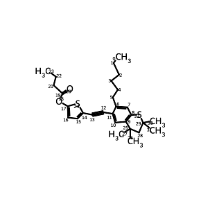 CCCCCCc1cc2c(cc1C#Cc1ccc(OC(=O)CCC)s1)C(C)(C)CC(C)(C)S2